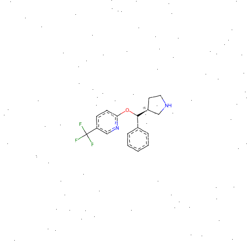 FC(F)(F)c1ccc(OC(c2ccccc2)[C@H]2CCNC2)nc1